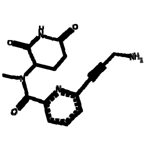 CN(C(=O)c1cccc(C#CCN)n1)C1CCC(=O)NC1=O